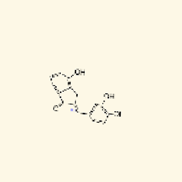 O=C1/C(=C/c2ccc(O)c(O)c2)Cc2c(O)cccc21